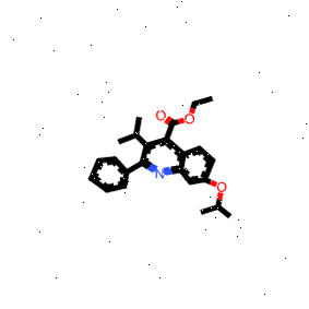 CCOC(=O)c1c(C(C)C)c(-c2ccccc2)nc2cc(OC(C)C)ccc12